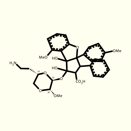 COc1ccc(C23Oc4cccc(OC)c4C2(O)C(O)(O[C@@H]2O[C@@H](CCN)CO[C@H]2OC)C(C(=O)O)C3c2ccccc2)cc1